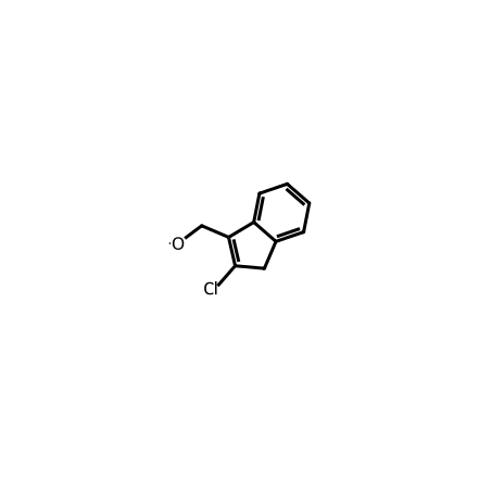 [O]CC1=C(Cl)Cc2ccccc21